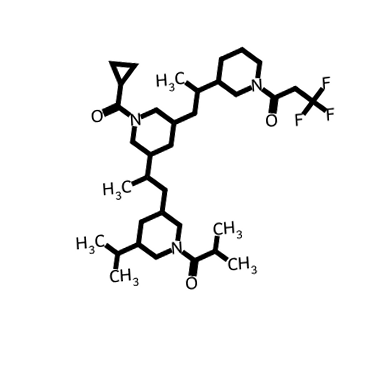 CC(C)C(=O)N1CC(CC(C)C2CC(CC(C)C3CCCN(C(=O)CC(F)(F)F)C3)CN(C(=O)C3CC3)C2)CC(C(C)C)C1